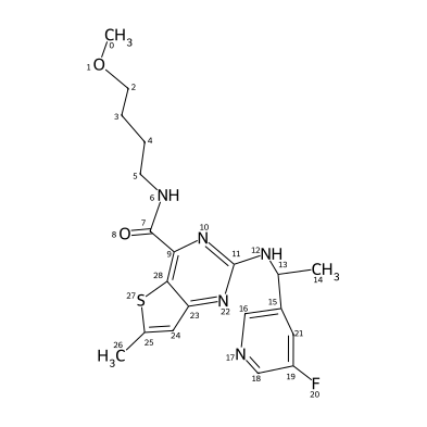 COCCCCNC(=O)c1nc(NC(C)c2cncc(F)c2)nc2cc(C)sc12